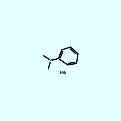 Br.CP(C)c1ccccc1